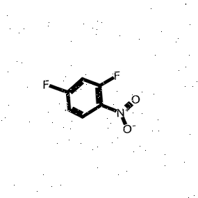 O=[N+]([O-])c1c[c]c(F)cc1F